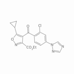 CCOC(=O)c1noc(C2CC2)c1C(=O)c1ccc(-n2cncn2)cc1Cl